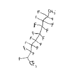 [CH2]C(F)(F)C(F)(F)C(F)(F)C(F)(F)C(F)(F)C(F)(F)C(F)(F)C(F)C(F)(F)F